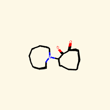 O=C1CCCCCC(N2CCCCCCC2)C1=O